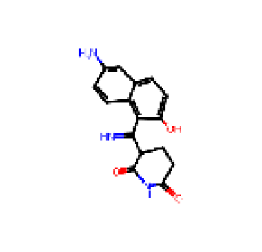 N=C(c1c(O)ccc2cc(N)ccc12)C1CCC(=O)NC1=O